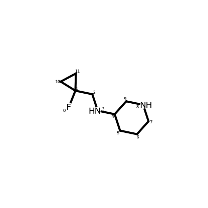 FC1(CNC2CCCNC2)CC1